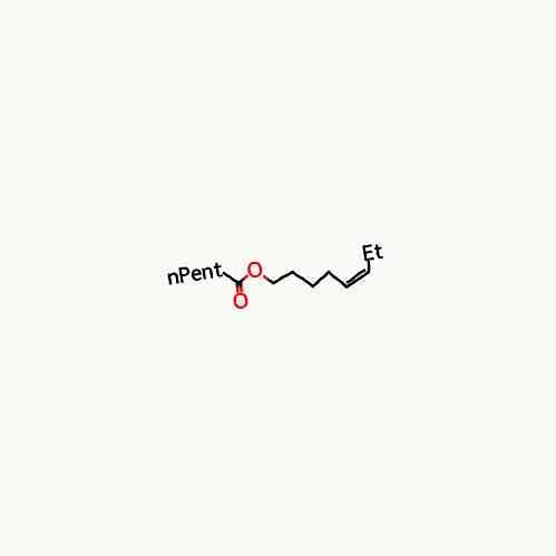 CC/C=C\CCCCOC(=O)CCCCC